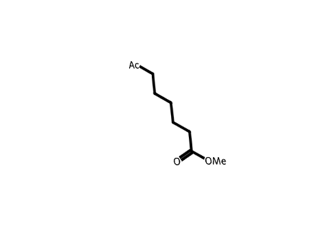 COC(=O)CCCCCC(C)=O